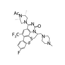 CC(=O)N1[C@H](C)CN(c2nc(=O)n3c4c(c(-c5ccc(F)cc5F)c(C(F)(F)F)cc24)SCC3CN2CCN(C)CC2)C[C@@H]1C